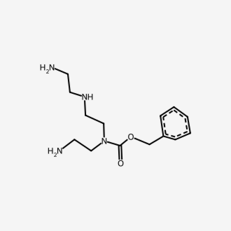 NCCNCCN(CCN)C(=O)OCc1ccccc1